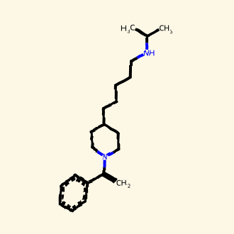 C=C(c1ccccc1)N1CCC(CCCCCNC(C)C)CC1